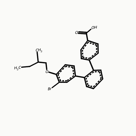 CCC(C)COc1ccc(-c2ccccc2-c2ccc(C(=O)O)cc2)cc1Br